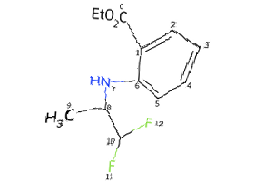 CCOC(=O)c1ccccc1NC(C)C(F)F